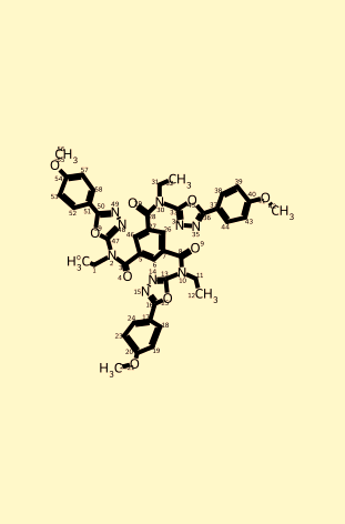 CCN(C(=O)c1cc(C(=O)N(CC)c2nnc(-c3ccc(OC)cc3)o2)cc(C(=O)N(CC)c2nnc(-c3ccc(OC)cc3)o2)c1)c1nnc(-c2ccc(OC)cc2)o1